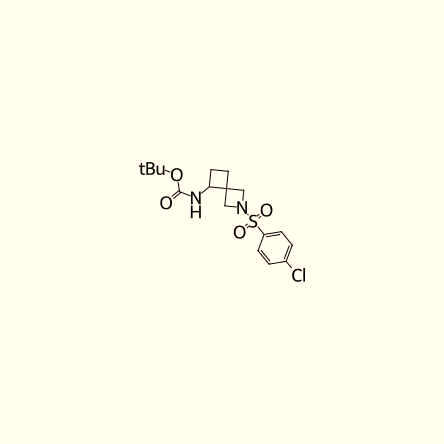 CC(C)(C)OC(=O)NC1CCC12CN(S(=O)(=O)c1ccc(Cl)cc1)C2